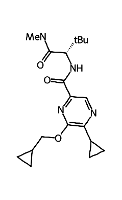 CNC(=O)[C@@H](NC(=O)c1cnc(C2CC2)c(OCC2CC2)n1)C(C)(C)C